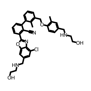 Cc1cc(CNCCO)ccc1OCc1cccc(-c2cccc(-c3nc4c(Cl)cc(CNCCO)cc4o3)c2C#N)c1C